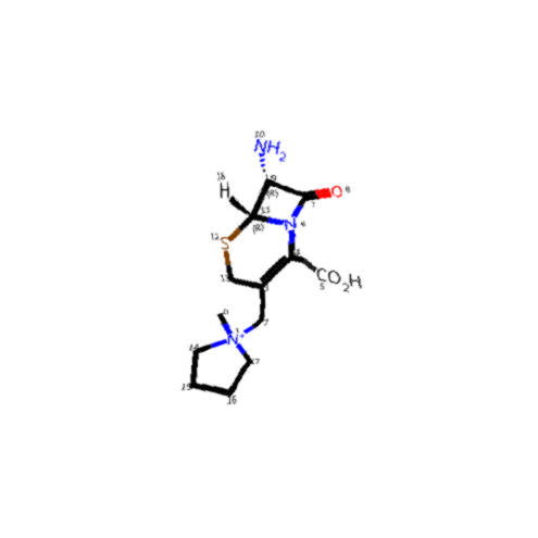 C[N+]1(CC2=C(C(=O)O)N3C(=O)[C@@H](N)[C@H]3SC2)CCCC1